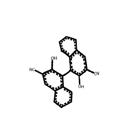 N#Cc1cc2ccccc2c(-c2c(O)c(C#N)cc3ccccc23)c1O